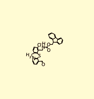 Cc1ccc(Cl)c(CNC(=O)OCC2c3ccccc3-c3ccccc32)c1Sc1ncccc1C=O